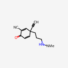 C#CC1(CCCNNC)C=CC(=O)C(C#N)=C1